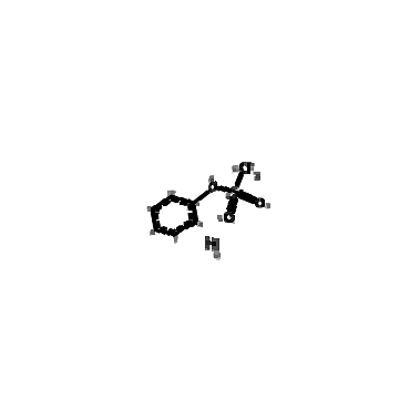 I.O=S(=O)(Oc1ccccc1)C(F)(F)F